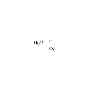 [Cs+].[Hg+].[I-].[I-]